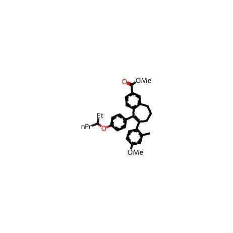 CCCC(CC)Oc1ccc(C2=C(c3ccc(OC)cc3C)CCCc3cc(C(=O)OC)ccc32)cc1